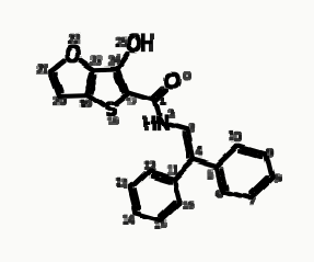 O=C(NC=C(c1ccccc1)c1ccccc1)c1sc2ccoc2c1O